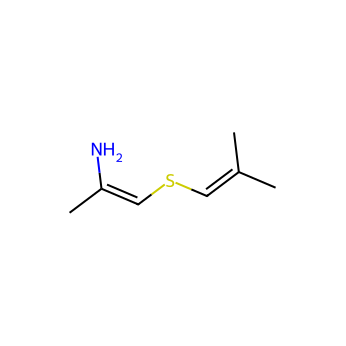 CC(C)=CS/C=C(/C)N